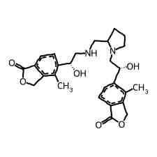 Cc1c([C@@H](O)CNCC2CCCN2C[C@H](O)c2ccc3c(c2C)COC3=O)ccc2c1COC2=O